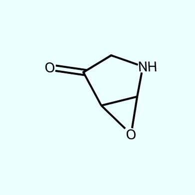 O=C1CNC2OC12